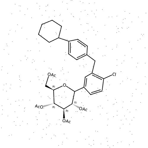 CC(=O)OC[C@H]1OC(c2ccc(Cl)c(Cc3ccc(C4CCCCC4)cc3)c2)[C@H](OC(C)=O)[C@@H](OC(C)=O)[C@@H]1OC(C)=O